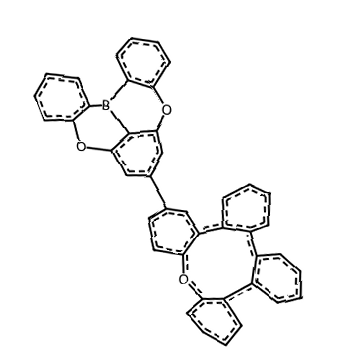 c1ccc2c(c1)Oc1cc(-c3ccc4oc5ccccc5c5ccccc5c5ccccc5c4c3)cc3c1B2c1ccccc1O3